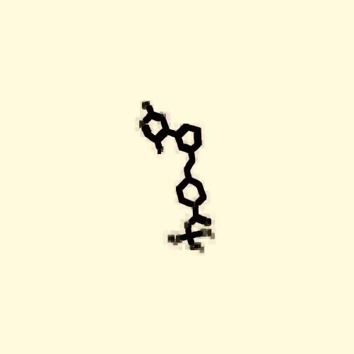 CC(C)(C)OC(=O)N1CCC(CCc2cccc(-c3nc(Cl)ncc3F)c2)CC1